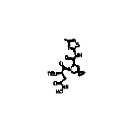 CCCCC(CC(=O)NO)C(=O)N1CC2(CC2)CC1C(=O)Nc1nc(C)cs1